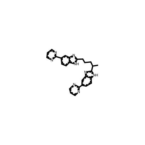 CC(CCCc1nc2cc(-c3ncccn3)ccc2[nH]1)c1nc2cc(-c3ncccn3)ccc2[nH]1